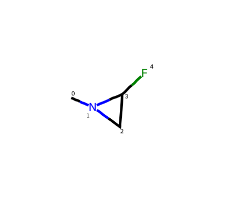 CN1CC1F